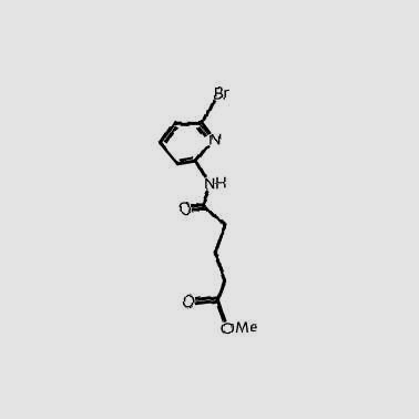 COC(=O)CCCC(=O)Nc1cccc(Br)n1